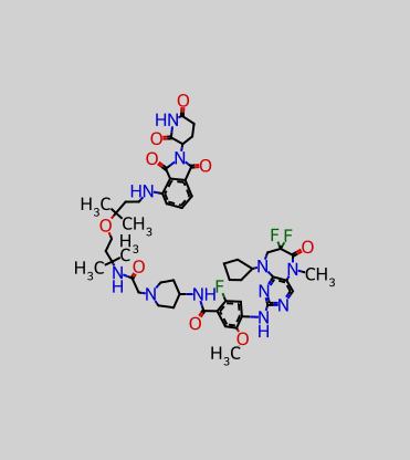 COc1cc(C(=O)NC2CCN(CC(=O)NC(C)(C)CCOC(C)(C)CCNc3cccc4c3C(=O)N(C3CCC(=O)NC3=O)C4=O)CC2)c(F)cc1Nc1ncc2c(n1)N(C1CCCC1)CC(F)(F)C(=O)N2C